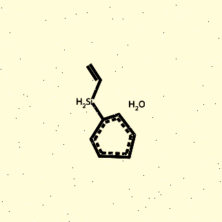 C=C[SiH2]c1ccccc1.O